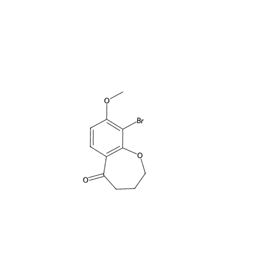 COc1ccc2c(c1Br)OCCCC2=O